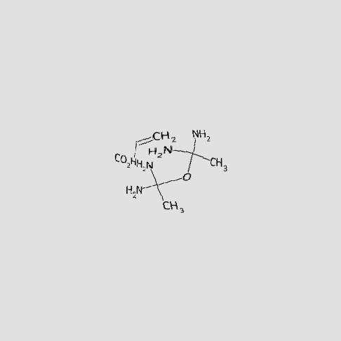 C=CC(=O)O.CC(N)(N)OC(C)(N)N